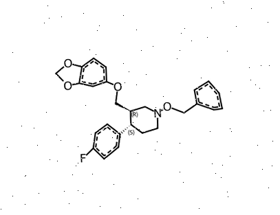 Fc1ccc([C@H]2CCN(OCc3ccccc3)C[C@@H]2COc2ccc3c(c2)OCO3)cc1